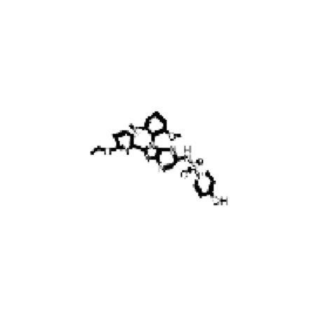 CCOc1cccc(-c2nc3ncc(NS(=O)(=O)[n+]4ccc(O)cc4)nc3n2-c2c(OC)cccc2OC)n1